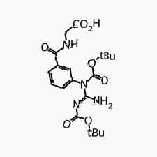 CC(C)(C)OC(=O)N=C(N)N(C(=O)OC(C)(C)C)c1cccc(C(=O)NCC(=O)O)c1